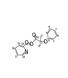 CC(C)(Oc1ccccc1)C(=O)OOc1ccccn1